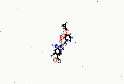 COc1c(OCC2CC2)ccnc1C[S+]([O-])c1nc2cc(C(C)=O)c(C)cc2[nH]1